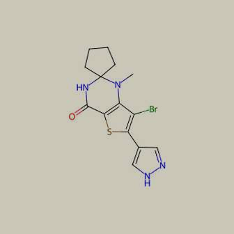 CN1c2c(sc(-c3cn[nH]c3)c2Br)C(=O)NC12CCCC2